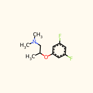 CC(CN(C)C)Oc1cc(F)cc(F)c1